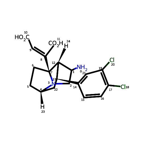 NC1CN2[C@H]3CC[C@]2(/C(=C/C(=O)O)C(=O)O)[C@H]1[C@@H](c1ccc(Cl)c(Cl)c1)C3